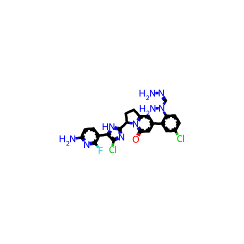 N/N=C\N(N)c1ccc(Cl)cc1-c1cc2n(c(=O)c1)C(c1nc(Cl)c(-c3ccc(N)nc3F)[nH]1)CC2